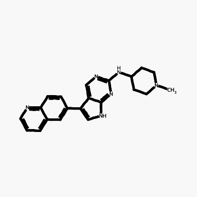 CN1CCC(Nc2ncc3c(-c4ccc5ncccc5c4)c[nH]c3n2)CC1